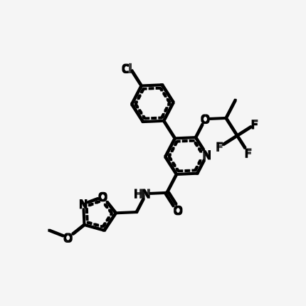 COc1cc(CNC(=O)c2cnc(OC(C)C(F)(F)F)c(-c3ccc(Cl)cc3)c2)on1